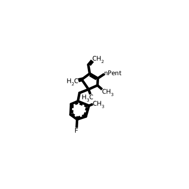 C=CC1=C(CCCCC)C(C)C(C)(Cc2ccc(F)cc2C)C1=C